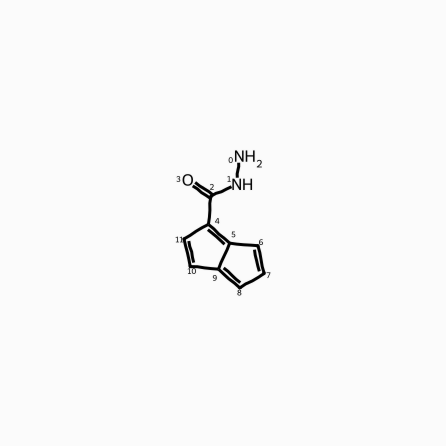 NNC(=O)C1=C2C=CC=C2C=C1